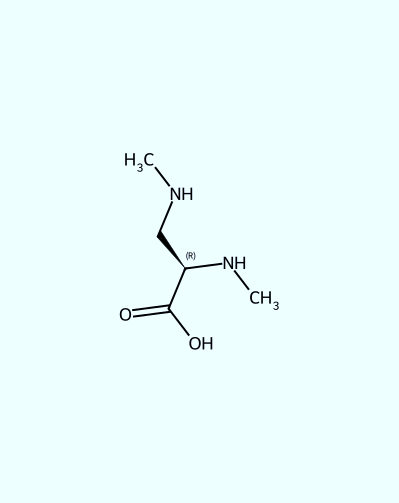 CNC[C@@H](NC)C(=O)O